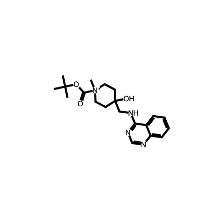 CC(C)(C)OC(=O)[N+]1(C)CCC(O)(CNc2ncnc3ccccc23)CC1